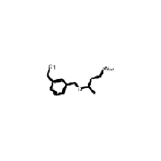 CCCCCCCCCCCC(C)OCc1cccc(CO)c1